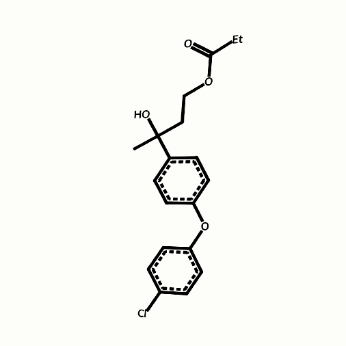 CCC(=O)OCCC(C)(O)c1ccc(Oc2ccc(Cl)cc2)cc1